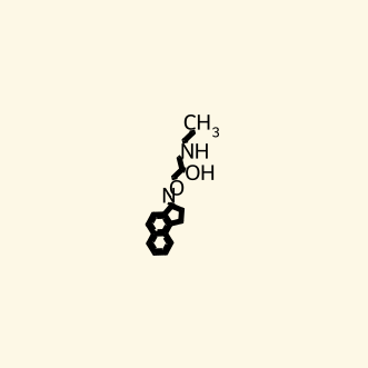 CCCNCC(O)CON=C1CCc2c1ccc1ccccc21